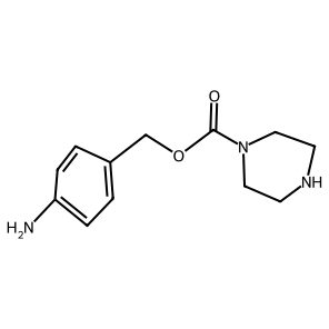 Nc1ccc(COC(=O)N2CCNCC2)cc1